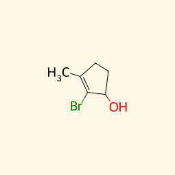 CC1=C(Br)C(O)CC1